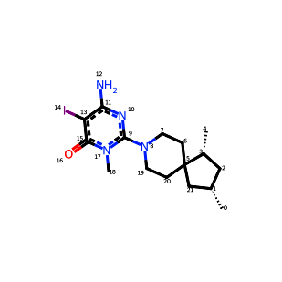 C[C@H]1C[C@@H](C)C2(CCN(c3nc(N)c(I)c(=O)n3C)CC2)C1